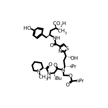 CCCC(=O)OCN(C(=O)[C@@H](NC(=O)[C@H]1CCCCN1C)C(C)CC)[C@H](C[C@@H](O)c1nc(C(=O)N[C@@H](Cc2ccc(O)cc2)C[C@H](C)C(=O)O)cs1)C(C)C